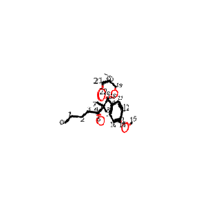 CCCCC(=O)C(C)(C)C1(c2ccc(OC)cc2)OCCCO1